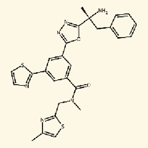 Cc1csc(CN(C)C(=O)c2cc(-c3nnc([C@](C)(N)Cc4ccccc4)o3)cc(-c3nccs3)c2)n1